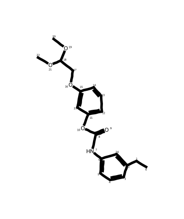 CCc1cccc(NC(=O)Oc2cccc(OCC(OC)OC)c2)c1